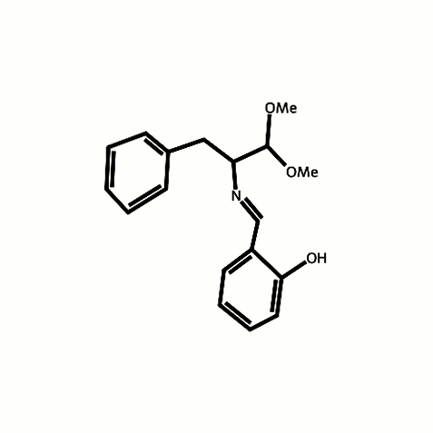 COC(OC)C(Cc1ccccc1)N=Cc1ccccc1O